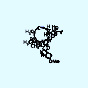 CC[C@@H]1C[C@H](C)CC/C=C\[C@@H]2C[C@@]2(C(=O)NS(=O)(=O)C2CC2)NC(=O)[C@@H]2C[C@@H](Oc3cnnc4cc(OC)ccc34)CN2C(=O)[C@H]1N(C(=O)O)C(C)(C)C(F)(F)F